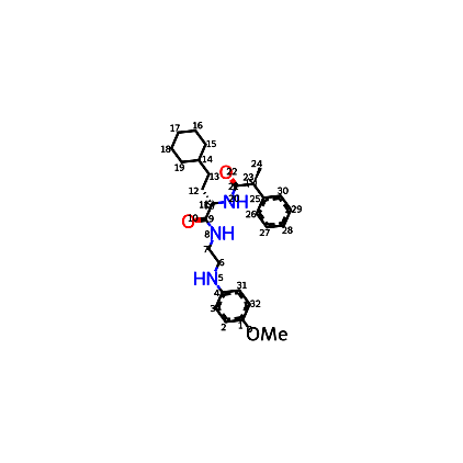 COc1ccc(NCCNC(=O)[C@H](CCC2CCCCC2)NC(=O)[C@@H](C)c2ccccc2)cc1